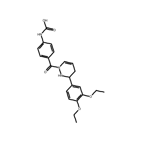 CCOc1ccc(C2CC=CN(C(=O)c3ccc(NC(=O)O)cc3)N2)cc1OCC